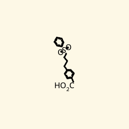 O=C(O)Cc1ccc(CCCCS(=O)(=O)c2ccccc2)cc1